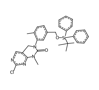 Cc1ccc(CO[Si](c2ccccc2)(c2ccccc2)C(C)(C)C)cc1N1Cc2cnc(Cl)nc2N(C)C1=O